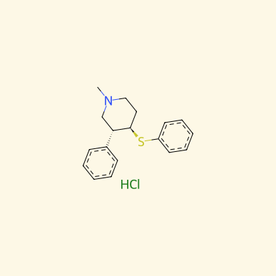 CN1CC[C@@H](Sc2ccccc2)[C@H](c2ccccc2)C1.Cl